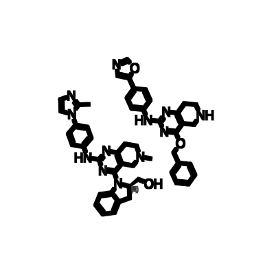 Cc1nccn1-c1ccc(Nc2nc3c(c(N4c5ccccc5C[C@@H]4CO)n2)CN(C)CC3)cc1.c1ccc(COc2nc(Nc3ccc(-c4cnco4)cc3)nc3c2CNCC3)cc1